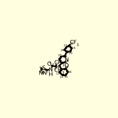 CC(C)(C(=O)Nc1nncs1)[C@H]1c2ccccc2Oc2nc(-c3ccc(C(F)(F)F)cc3)ccc21